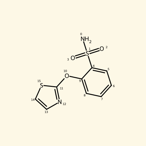 NS(=O)(=O)c1ccccc1Oc1nccs1